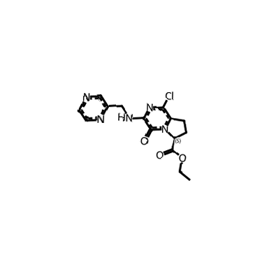 CCOC(=O)[C@@H]1CCc2c(Cl)nc(NCc3cnccn3)c(=O)n21